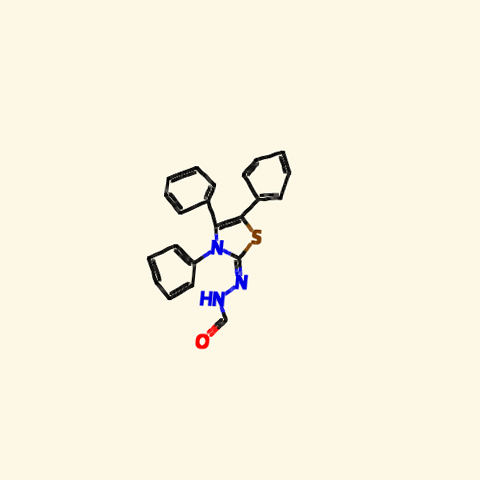 O=CNN=c1sc(-c2ccccc2)c(-c2ccccc2)n1-c1ccccc1